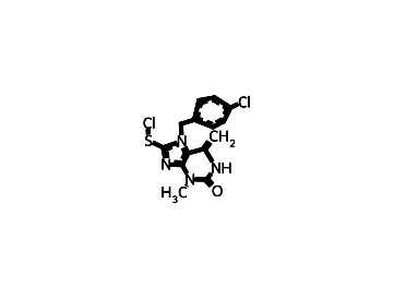 C=C1NC(=O)N(C)c2nc(SCl)n(Cc3ccc(Cl)cc3)c21